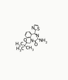 CC(C)(C)C(=O)CN1C(=O)C(N)N=C(c2nccs2)c2ccccc21